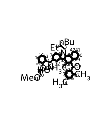 CCCCC(CC)Cn1c2ccc(C(=NO)c3ccccc3OCCOC)cc2c2cc(C(=O)c3c(C)cc(C)cc3C)c3ccccc3c21